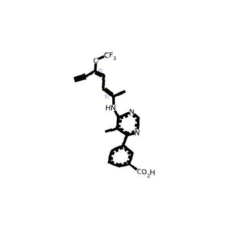 C#C/C(=C\C=C(/C)Nc1ncnc(-c2cccc(C(=O)O)c2)c1C)OC(F)(F)F